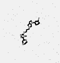 Cn1c(SCCCN2CC3CCN(c4cccc(F)c4)C3C2)nnc1-c1cnccn1